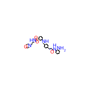 Nc1ccccc1NC(=O)/C=C/c1ccc(CNc2cccc(S(=O)(=O)NCCCN3CCOCC3)c2)cc1